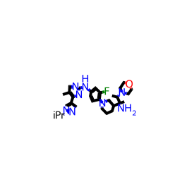 Cc1cnc(Nc2ccc(N3CCCC(C(C)(N)C(C)N4CCOCC4)C3)c(F)c2)nc1-c1cnn(C(C)C)c1